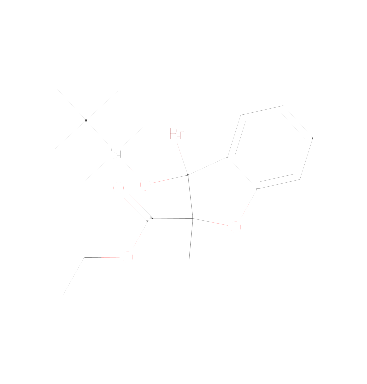 CCOC(=O)C1(C)Oc2ccccc2C1(Br)O[Si](C)(C)C(C)(C)C